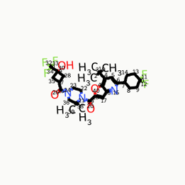 CC(C)(C)c1cc(C2CCC(F)(F)CC2)nc2cc(C(=O)N3CCN(C(=O)C4CC(O)(C(F)(F)F)C4)CC3(C)C)oc12